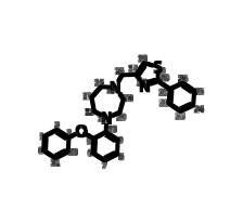 c1ccc(Oc2ccccc2N2CCCN(Cc3csc(-c4ccccc4)n3)CC2)cc1